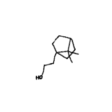 CC1(C)C2CCC1(CCO)CC2